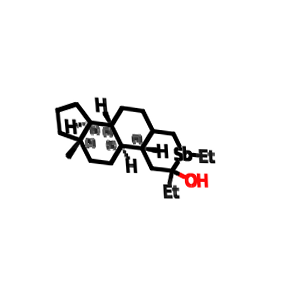 C[CH2][Sb]1[CH2]C2CC[C@@H]3[C@H](CC[C@]4(C)CCC[C@@H]34)[C@H]2C[C]1(O)CC